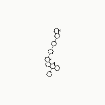 c1ccc(-c2c3ccccc3nc3c2ccc2ccc(-c4ccc(-c5ccc(-c6ccc7ncccc7c6)cc5)cc4)nc23)cc1